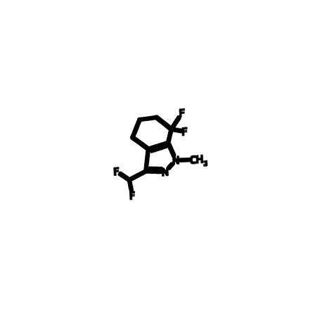 Cn1nc(C(F)F)c2c1C(F)(F)CCC2